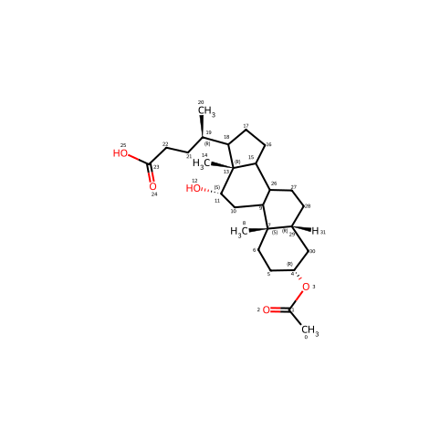 CC(=O)O[C@@H]1CC[C@]2(C)C3C[C@H](O)[C@@]4(C)C(CCC4[C@H](C)CCC(=O)O)C3CC[C@@H]2C1